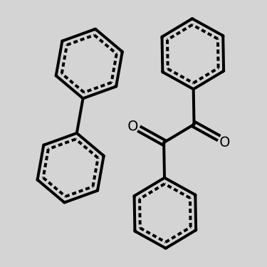 O=C(C(=O)c1ccccc1)c1ccccc1.c1ccc(-c2ccccc2)cc1